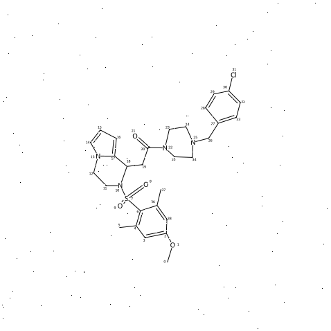 COc1cc(C)c(S(=O)(=O)N2CCn3cccc3C2CC(=O)N2CCN(Cc3ccc(Cl)cc3)CC2)c(C)c1